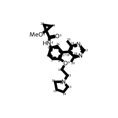 COC1(C(=O)Nc2ccc(OCCN3CCCC3)c(-c3c(C)ncnc3C)c2)CC1